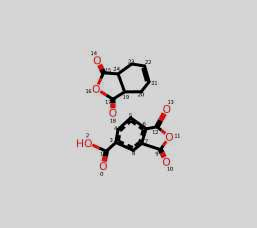 O=C(O)c1ccc2c(c1)C(=O)OC2=O.O=C1OC(=O)C2CC=CCC12